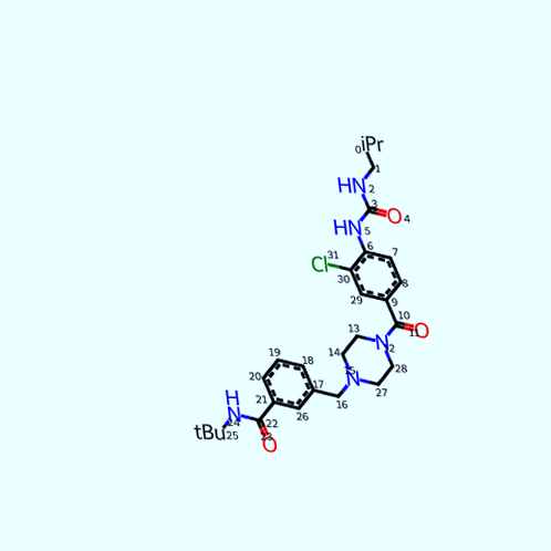 CC(C)CNC(=O)Nc1ccc(C(=O)N2CCN(Cc3cccc(C(=O)NC(C)(C)C)c3)CC2)cc1Cl